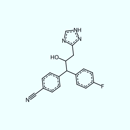 N#Cc1ccc(C(c2ccc(F)cc2)C(O)Cc2nc[nH]n2)cc1